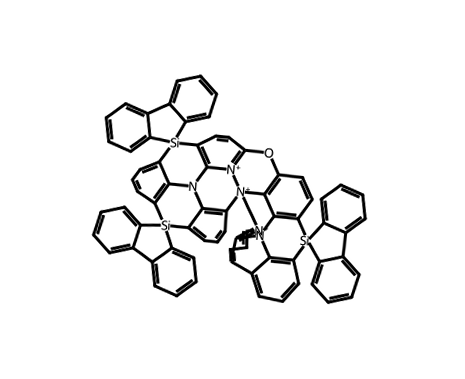 c1ccc2c(c1)-c1ccccc1[Si]21c2cccc3c2N2c4c1cccc4[Si]1(c4ccccc4-c4ccccc41)c1ccc4[n+](c12)[N+]31c2c(ccc3c2-n2c5c(cccc5c5ccc[n+]1c52)[Si]31c2ccccc2-c2ccccc21)O4